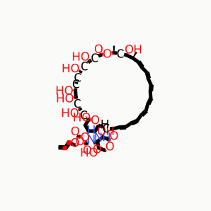 C=CCOC(=O)N[C@@H]1[C@H](O)[C@H](O[C@H]2/C=C/C=C/C=C/C=C/C=C/C=C/C=C/[C@H](C)[C@@H](O)C[C@H](C)OC(=O)C[C@H](O)C[C@H](O)CC[C@@H](O)[C@H](O)C[C@H](O)C[C@]3(O)C[C@H](OC(=O)OCC=C)[C@@H](NC=O)[C@H](C2)O3)OC[C@H]1O